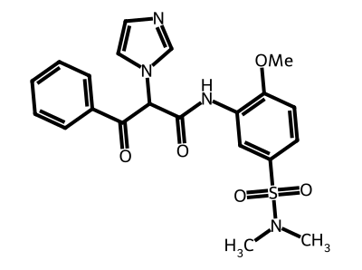 COc1ccc(S(=O)(=O)N(C)C)cc1NC(=O)C(C(=O)c1ccccc1)n1ccnc1